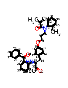 C=C(C)C(=O)N(CCCOc1ccc(C[C@H](Nc2ccccc2C(=O)c2ccccc2)C(=O)OC)cc1)c1ccccc1C